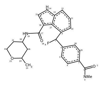 CNC(=O)c1ccc(C(F)c2cccc3[nH]cc(C(=O)NC4CCOC(C)C4)c23)cc1